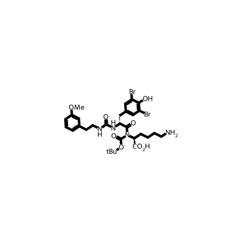 COc1cccc(CCNC(=O)N[C@H](Cc2cc(Br)c(O)c(Br)c2)C(=O)N(C(=O)OC(C)(C)C)[C@@H](CCCCN)C(=O)O)c1